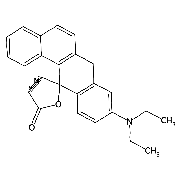 CCN(CC)c1ccc2c(c1)Cc1ccc3ccccc3c1C21OC(=O)c2cccnc21